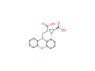 O=C(O)CCC1c2ccccc2Oc2cccc([C@@H]3C[C@H]3C(=O)O)c21